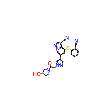 N#Cc1ccccc1Sc1cc(-c2cnn(CC(=O)N3CC[C@@H](O)C3)c2)cn2ncc(C#N)c12